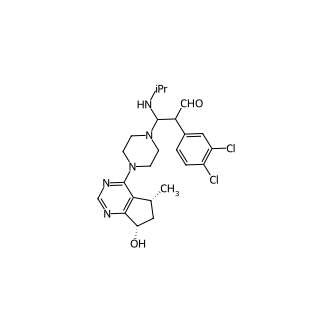 CC(C)NC(C(C=O)c1ccc(Cl)c(Cl)c1)N1CCN(c2ncnc3c2[C@H](C)C[C@@H]3O)CC1